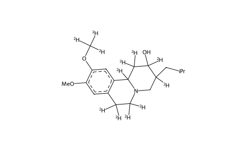 [2H]C([2H])([2H])Oc1cc2c(cc1OC)C([2H])([2H])C([2H])([2H])N1CC([2H])(CC(C)C)C([2H])(O)C([2H])([2H])C21[2H]